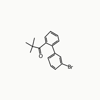 CC(C)(C)C(=O)c1ccccc1-c1cccc(Br)c1